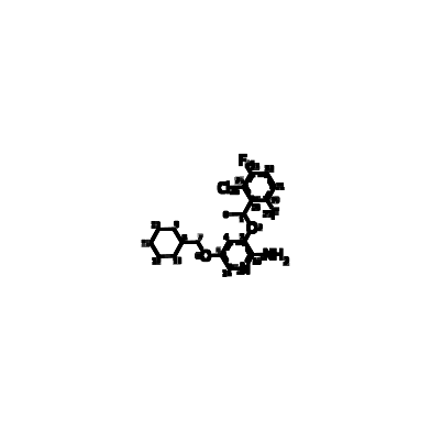 CC(Oc1cc(OCC2CCCCC2)cnc1N)c1c(F)ccc(F)c1Cl